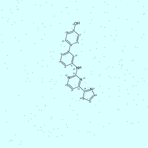 Oc1ccc(-c2cccc(Nc3nccc(-c4nccs4)n3)c2)cc1